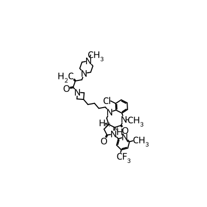 C=C(CN1CCN(C)CC1)C(=O)N1CC(CCCCN2C[C@H]3CC(=O)N(c4cc(C(F)(F)F)cc(C)n4)[C@@H]3C(=O)N(C)c3cccc(Cl)c32)C1